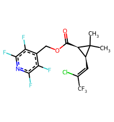 CC1(C)[C@H](C(=O)OCc2c(F)c(F)nc(F)c2F)[C@@H]1C=C(Cl)C(F)(F)F